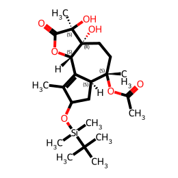 CC(=O)O[C@@]1(C)CC[C@@]2(O)[C@@H](OC(=O)[C@@]2(C)O)C2=C(C)C(O[Si](C)(C)C(C)(C)C)C[C@@H]21